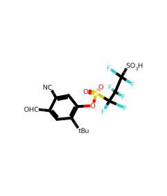 CC(C)(C)c1cc(C=O)c(C#N)cc1OS(=O)(=O)C(F)(F)C(F)(F)C(F)(F)S(=O)(=O)O